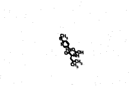 COc1ccc(NC(=O)[C@H](CC(C)C)NC(=O)O)cn1